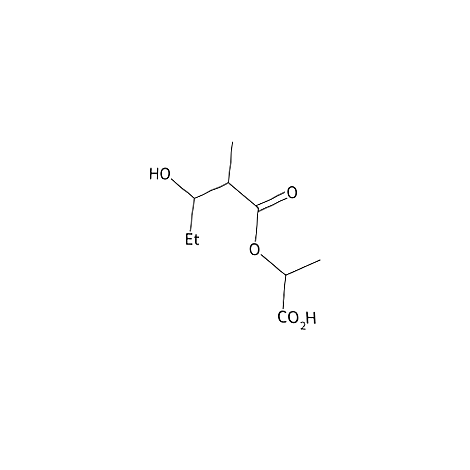 CCC(O)C(C)C(=O)OC(C)C(=O)O